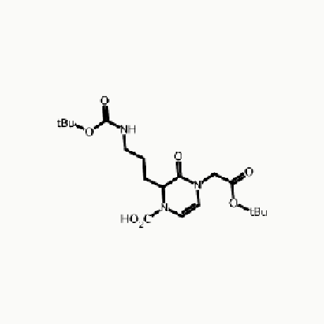 CC(C)(C)OC(=O)CN1C=CN(C(=O)O)C(CCCNC(=O)OC(C)(C)C)C1=O